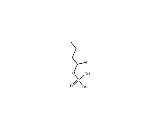 CCCC(I)OP(=O)(O)O